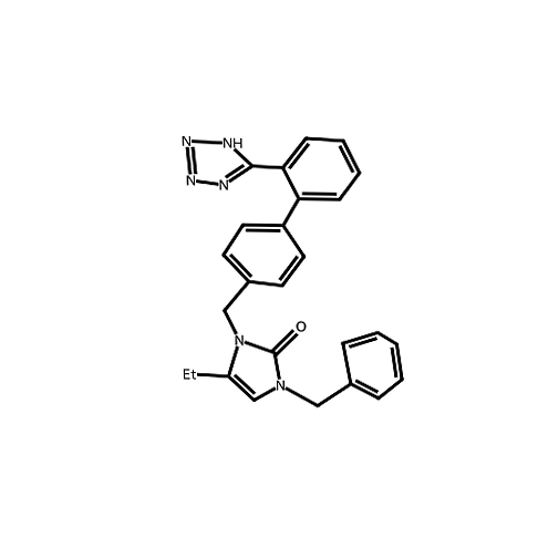 CCc1cn(Cc2ccccc2)c(=O)n1Cc1ccc(-c2ccccc2-c2nnn[nH]2)cc1